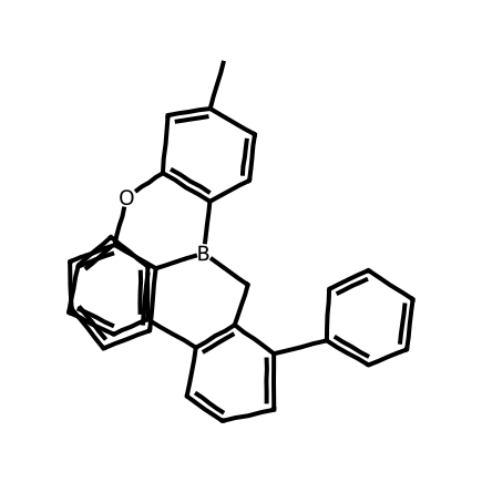 Cc1ccc2c(c1)Oc1ccccc1B2Cc1c(-c2ccccc2)cccc1-c1ccccc1